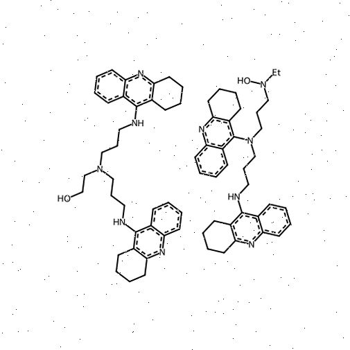 CCN(O)CCCN(CCCNc1c2c(nc3ccccc13)CCCC2)c1c2c(nc3ccccc13)CCCC2.OCCN(CCCNc1c2c(nc3ccccc13)CCCC2)CCCNc1c2c(nc3ccccc13)CCCC2